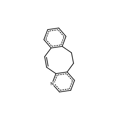 C1=C\c2ncccc2CCc2ccccc2/1